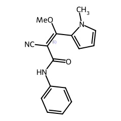 CO/C(=C(\C#N)C(=O)Nc1ccccc1)c1cccn1C